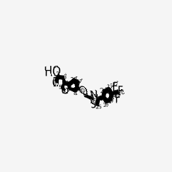 O=C(O)CC1COc2cc(OCc3nc(-c4ccc(C(F)(F)F)cc4)cs3)ccc21